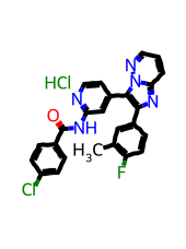 Cc1cc(-c2nc3cccnn3c2-c2ccnc(NC(=O)c3ccc(Cl)cc3)c2)ccc1F.Cl